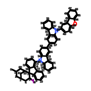 CC1CC2CC(I)C3(c4ccccc4-c4c(-n5c6ccccc6c6cc(-c7ccc8c(c7)c7ccccc7n8-c7ccc8oc9ccccc9c8c7)ccc65)cccc43)C(C1)C2